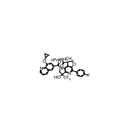 CCCNC(=O)[C@@]1(C)COc2c1cc(C(O)(CNC(=O)c1cc(OC3CC3)c3ncccc3c1)C(F)(F)F)nc2-c1ccc(F)cc1